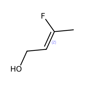 C/C(F)=C/CO